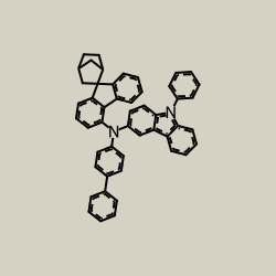 c1ccc(-c2ccc(N(c3ccc4c(c3)c3ccccc3n4-c3ccccc3)c3cccc4c3-c3ccccc3C43CC4CCC3C4)cc2)cc1